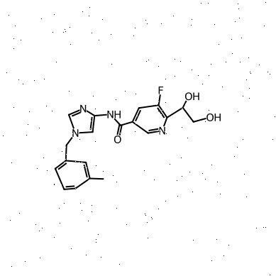 Cc1cccc(Cn2cnc(NC(=O)c3cnc(C(O)CO)c(F)c3)c2)c1